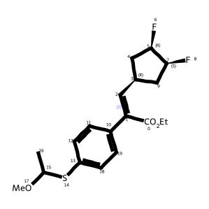 CCOC(=O)/C(=C\[C@H]1C[C@@H](F)[C@@H](F)C1)c1ccc(SC(C)OC)cc1